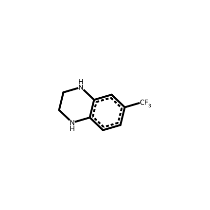 FC(F)(F)c1ccc2c(c1)NCCN2